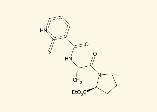 CCOC(=O)[C@@H]1CCCN1C(=O)[C@H](C)NC(=O)c1ccc[nH]c1=S